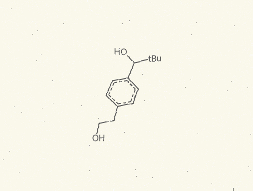 CC(C)(C)C(O)c1ccc(CCO)cc1